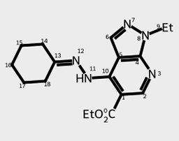 CCOC(=O)c1cnc2c(cnn2CC)c1NN=C1CCCCC1